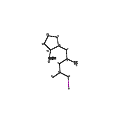 CCC(CC(C)CI)CC1CCCC1SC